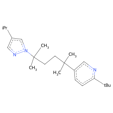 CC(C)c1cnn(C(C)(C)CCC(C)(C)c2ccc(C(C)(C)C)nc2)c1